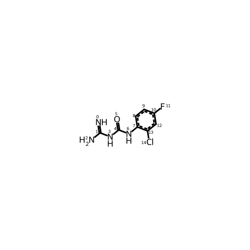 N=C(N)NC(=O)Nc1ccc(F)cc1Cl